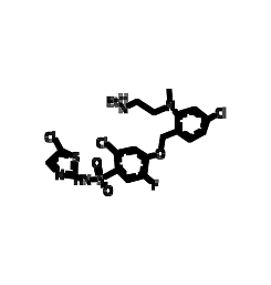 CCNCCN(C)c1cc(Cl)ccc1COc1cc(Cl)c(S(=O)(=O)Nc2ncc(Cl)s2)cc1F